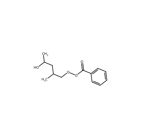 CC(O)CC(C)COOC(=O)c1ccccc1